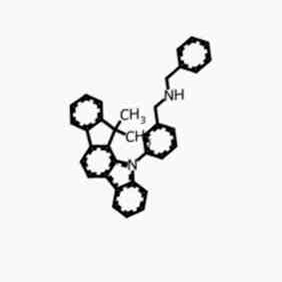 CC1(C)c2ccccc2-c2ccc3c4ccccc4n(-c4cccc(CNCc5ccccc5)c4)c3c21